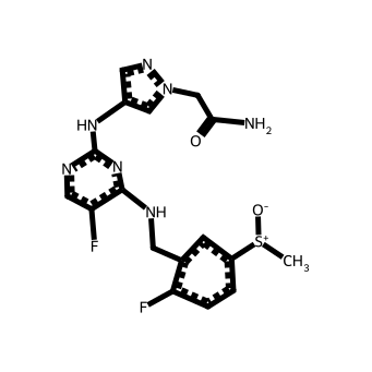 C[S+]([O-])c1ccc(F)c(CNc2nc(Nc3cnn(CC(N)=O)c3)ncc2F)c1